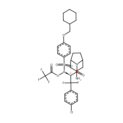 NC1CC2CCC(C1)N2C(=O)[C@H](N(OC(=O)C(F)(F)F)S(=O)(=O)c1ccc(OCC2CCCCC2)cc1)C(F)(F)c1ccc(Cl)cc1